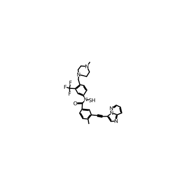 Cc1ccc(C(=O)N(S)c2ccc(CN3CCN(C)CC3)c(C(F)(F)F)c2)cc1C#Cc1cnc2cccnn12